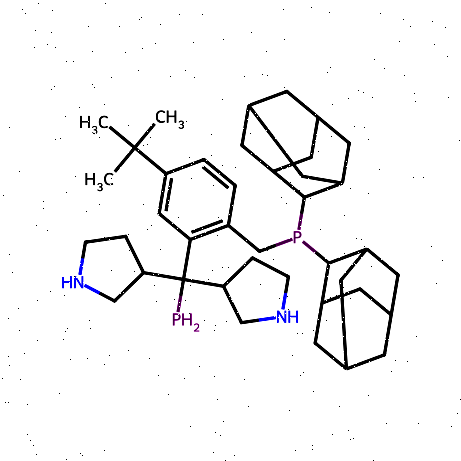 CC(C)(C)c1ccc(CP(C2C3CC4CC(C3)CC2C4)C2C3CC4CC(C3)CC2C4)c(C(P)(C2CCNC2)C2CCNC2)c1